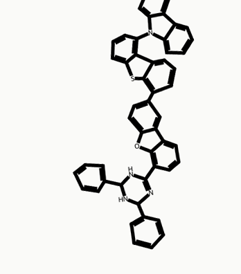 c1ccc(C2N=C(c3cccc4c3oc3ccc(-c5cccc6c5sc5cccc(-n7c8ccccc8c8ccccc87)c56)cc34)NC(c3ccccc3)N2)cc1